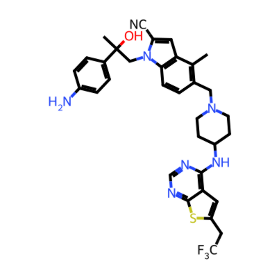 Cc1c(CN2CCC(Nc3ncnc4sc(CC(F)(F)F)cc34)CC2)ccc2c1cc(C#N)n2CC(C)(O)c1ccc(N)cc1